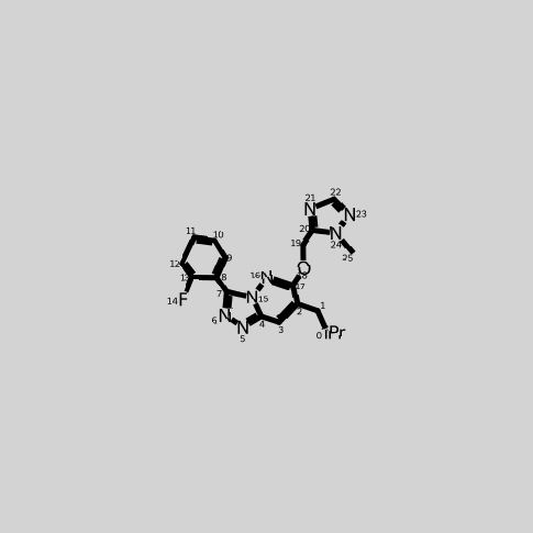 CC(C)Cc1cc2nnc(-c3ccccc3F)n2nc1OCc1ncnn1C